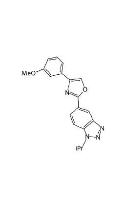 COc1cccc(-c2coc(-c3ccc4c(c3)nnn4C(C)C)n2)c1